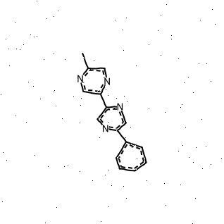 Cc1cnc(-c2cnc(-c3ccccc3)cn2)cn1